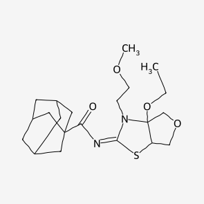 CCOC12COCC1SC(=NC(=O)C13CC4CC(CC(C4)C1)C3)N2CCOC